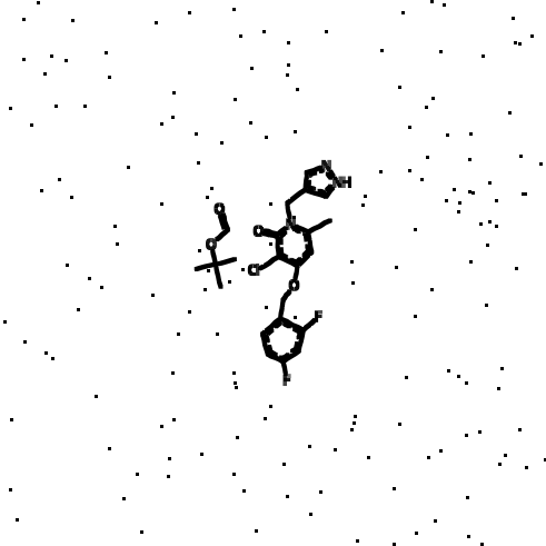 CC(C)(C)OC=O.Cc1cc(OCc2ccc(F)cc2F)c(Cl)c(=O)n1Cc1cn[nH]c1